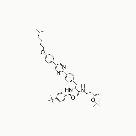 C=C(CCNC(=C)[C@H](Cc1ccc(-c2ncc(-c3ccc(OCCCCC(C)C)cc3)cn2)cc1)NC(=O)c1ccc(C(C)(C)C)cc1)OC(C)(C)C